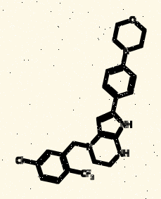 FC(F)(F)c1ccc(Cl)cc1CN1CCNc2[nH]c(-c3ccc(N4CCOCC4)cc3)cc21